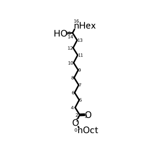 CCCCCCCCOC(=O)CCCCCCCCCCC(O)CCCCCC